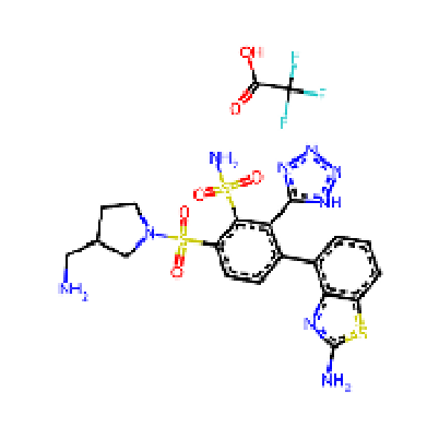 NCC1CCN(S(=O)(=O)c2ccc(-c3cccc4sc(N)nc34)c(-c3nnn[nH]3)c2S(N)(=O)=O)C1.O=C(O)C(F)(F)F